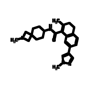 CC1=C(C(=O)NC2CCC3(CC2)CN(C)C3)c2cc(-c3cnn(C)c3)ccc2CC1